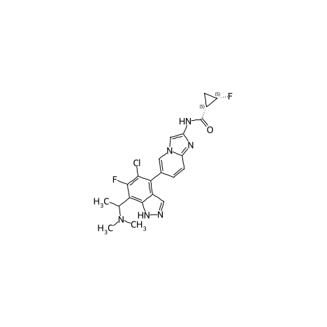 CC(c1c(F)c(Cl)c(-c2ccc3nc(NC(=O)[C@@H]4C[C@@H]4F)cn3c2)c2cn[nH]c12)N(C)C